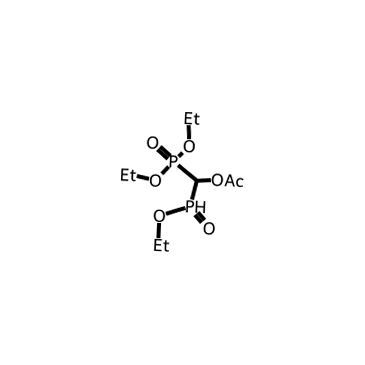 CCO[PH](=O)C(OC(C)=O)P(=O)(OCC)OCC